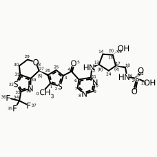 Cc1sc(C(=O)c2cncnc2N[C@H]2C[C@H](O)[C@@H]([CH]NS(=O)(=O)O)C2)cc1[C@@H]1OCCc2sc(C(F)(F)F)nc21